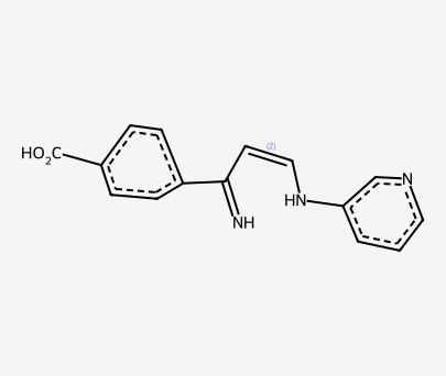 N=C(/C=C\Nc1cccnc1)c1ccc(C(=O)O)cc1